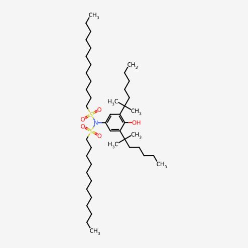 CCCCCCCCCCCCS(=O)(=O)N(c1cc(C(C)(C)CCCCC)c(O)c(C(C)(C)CCCCC)c1)S(=O)(=O)CCCCCCCCCCCC